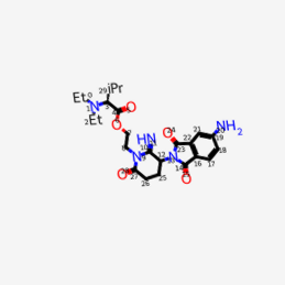 CCN(CC)[C@H](C(=O)OCCN1C(=N)C(N2C(=O)c3ccc(N)cc3C2=O)CCC1=O)C(C)C